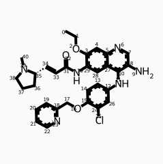 CCOc1cc2ncc(N)c(Nc3ccc(OCc4ccccn4)c(Cl)c3)c2cc1NC(=O)/C=C/[C@@H]1CCCN1C